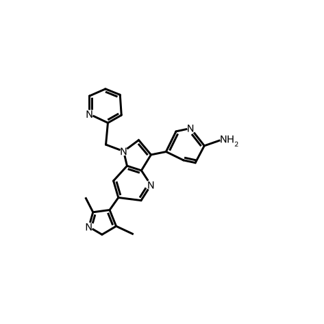 CC1=NCC(C)=C1c1cnc2c(-c3ccc(N)nc3)cn(Cc3ccccn3)c2c1